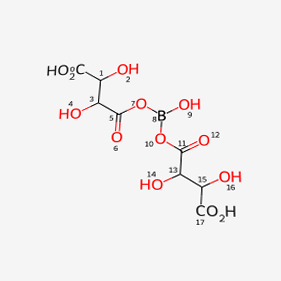 O=C(O)C(O)C(O)C(=O)OB(O)OC(=O)C(O)C(O)C(=O)O